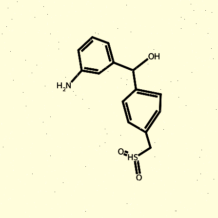 Nc1cccc(C(O)c2ccc(C[SH](=O)=O)cc2)c1